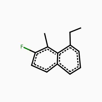 CCc1cccc2ccc(F)c(C)c12